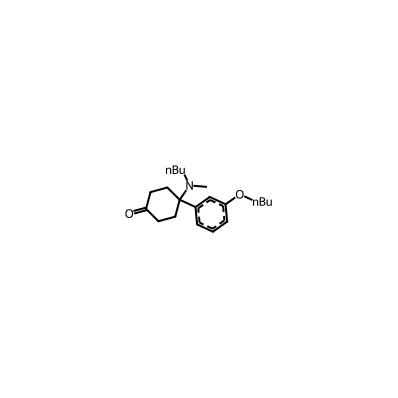 CCCCOc1cccc(C2(N(C)CCCC)CCC(=O)CC2)c1